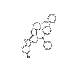 CC(C)(C)c1ccc2oc3c(cc(N(c4ccccc4)c4ccc(-c5ccccc5)cc4)c4c5cc(C(C)(C)C)ccc5oc34)c2c1